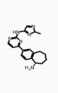 CC1N=CC(Nc2nccc(-c3ccc4c(c3)CCCC[C@H]4N)n2)=N1